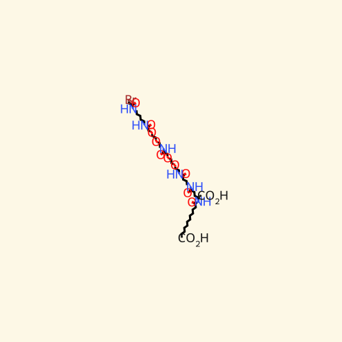 O=C(O)CCCCCCCCCCC(=O)NC(CCC(=O)NCCCC(=O)NCCOCCOCC(=O)NCCOCCOCC(=O)NCCCCCNC(=O)CBr)C(=O)O